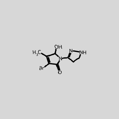 CC1=C(Br)C(=O)N(C2=NNCC2)C1O